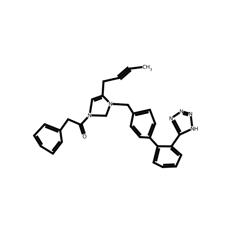 CC#CCC1=CN(C(=O)Cc2ccccc2)CN1Cc1ccc(-c2ccccc2-c2nnn[nH]2)cc1